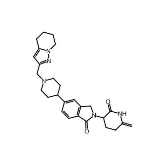 C=C1CCC(N2Cc3cc(C4CCN(Cc5cc6n(n5)CCCC6)CC4)ccc3C2=O)C(=O)N1